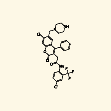 O=C(Cc1c(-c2ccccc2)c2cc(CN3CCNCC3)c(Cl)cc2oc1=O)Nc1ccc(Cl)cc1C(F)(F)F